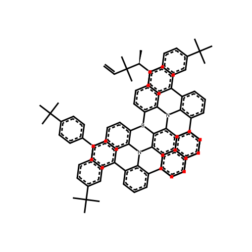 C=CC(C)(C)[C@@H](C)N(c1ccc(C(C)(C)C)cc1)c1ccc2c(c1)N(c1c(-c3ccccc3)cccc1-c1ccccc1)c1c3c4c(c5c1B2c1ccc(N(c2ccc(C(C)(C)C)cc2)c2ccc(C(C)(C)C)cc2)cc1N5c1c(-c2ccccc2)cccc1-c1ccccc1)CCCN4CCC3